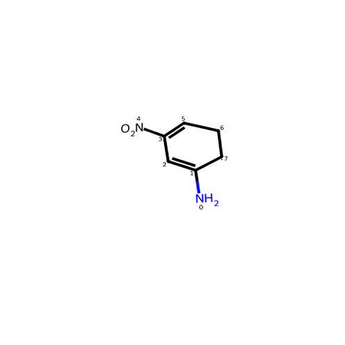 NC1=CC([N+](=O)[O-])=CC[CH]1